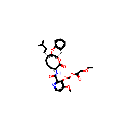 CCOCC(=O)OCOc1c(OC)ccnc1C(=O)N[C@H]1CCC[C@H](CCC(C)C)[C@@H](Oc2ccccc2)[C@H](C)OC1=O